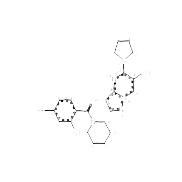 Cc1cc(F)ccc1C(=O)N1CCCC[C@H]1c1cc2nc(N3CCCC3)c(C)cn2n1